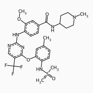 C=S(C)(=O)Nc1ccc(C)cc1Oc1nc(Nc2ccc(C(=O)NC3CCN(C)CC3)cc2OC)ncc1C(F)(F)F